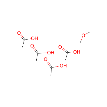 CC(=O)O.CC(=O)O.CC(=O)O.CC(=O)O.COC